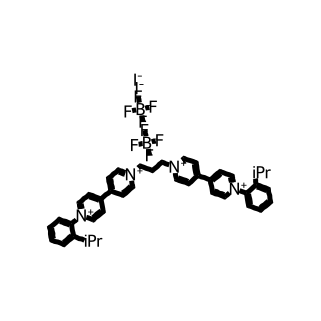 CC(C)c1ccccc1-[n+]1ccc(-c2cc[n+](CCC[n+]3ccc(-c4cc[n+](-c5ccccc5C(C)C)cc4)cc3)cc2)cc1.F[B-](F)(F)F.F[B-](F)(F)F.[I-].[I-]